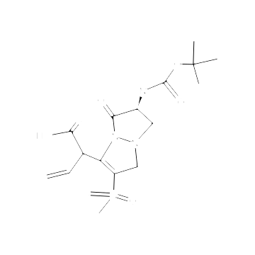 C=CC(C(=O)O)C1=C(S(C)(=O)=O)CN2C[C@H](NC(=O)OC(C)(C)C)C(=O)N12